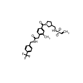 C=CS(=O)(=O)NCC1CCN(C(=O)c2ccc(CC(=O)NCc3ccc(C(F)(F)F)cc3)c(C)c2)C1